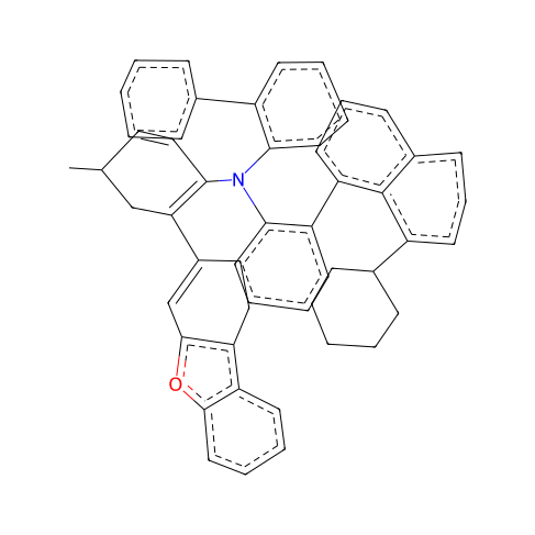 CC1C=CC(N(c2ccccc2-c2ccccc2)c2ccccc2-c2cccc3cccc(C4CCCCC4)c23)=C(C2=Cc3oc4ccccc4c3CC2)C1